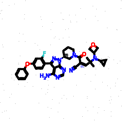 CC(C)(/C=C(/C#N)C(=O)N1CCC[C@@H](n2nc(-c3ccc(Oc4ccccc4)cc3F)c3c(N)ncnc32)C1)N(C1CC1)C1COC1